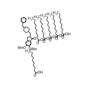 CCCCCCCCCC(=O)O.CCCCCCCCCC(=O)O.CCCCCCCCCC(=O)O.CCCCCCCCCC(=O)O.CCCCCCCCCC(=O)O.CCCCCCCCCC(=O)O.COc1cc2c(cc1OC)C(=O)C(CC1CCN(Cc3ccccc3)CC1)C2